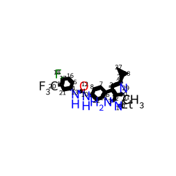 CC/N=C(/N)c1c(-c2ccc(NC(=O)Nc3ccc(F)c(C(F)(F)F)c3)cc2)cc(C2CC2)nc1C